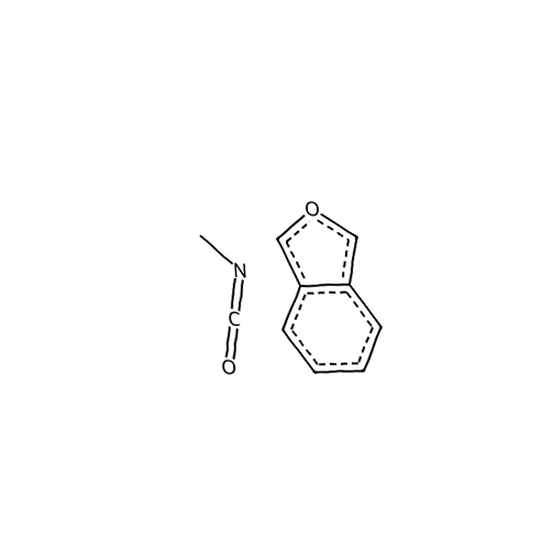 CN=C=O.c1ccc2cocc2c1